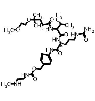 CNCCNC(=O)OCc1ccc(NC(=O)[C@H](CCCNC(N)=O)NC(=O)C(NC(=O)CCC(C)(C)OCCOC)C(C)C)cc1